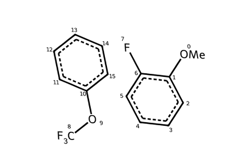 COc1ccccc1F.FC(F)(F)Oc1ccccc1